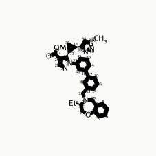 CC[C@@H]1COc2ccccc2CN1Cc1cccc(-c2cccc(-n3ncc(C(=O)OC)c3[C@@H]3C[C@H]3c3cn(C)nn3)c2)c1